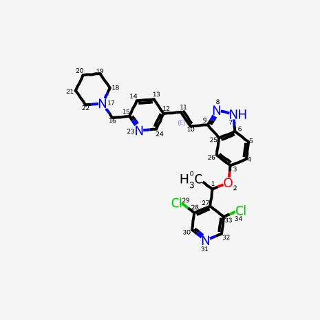 CC(Oc1ccc2[nH]nc(/C=C/c3ccc(CN4CCCCC4)nc3)c2c1)c1c(Cl)cncc1Cl